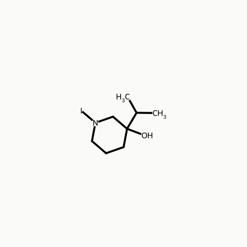 CC(C)C1(O)CCCN(I)C1